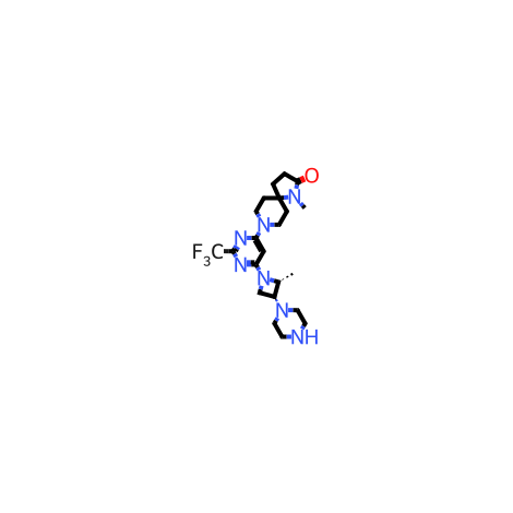 C[C@@H]1[C@H](N2CCNCC2)CN1c1cc(N2CCC3(CCC(=O)N3C)CC2)nc(C(F)(F)F)n1